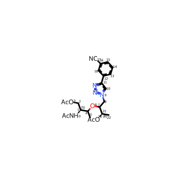 CC(=O)N[C@@H](COC(C)=O)C(C)OC(Cn1cc(-c2cccc(C#N)c2)nn1)[C@@H](C)OC(C)=O